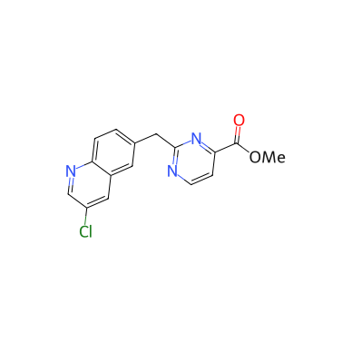 COC(=O)c1ccnc(Cc2ccc3ncc(Cl)cc3c2)n1